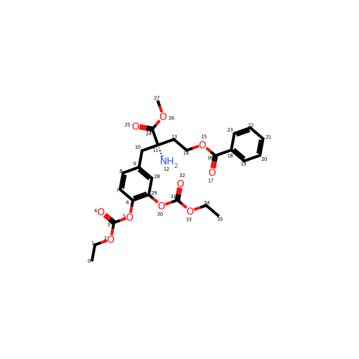 CCOC(=O)Oc1ccc(C[C@](N)(CCOC(=O)c2ccccc2)C(=O)OC)cc1OC(=O)OCC